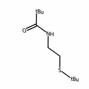 CC(C)(C)SCCNC(=O)C(C)(C)C